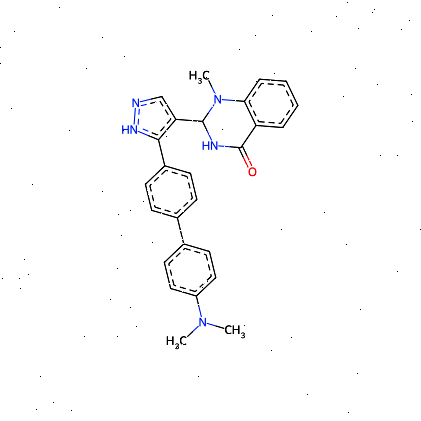 CN(C)c1ccc(-c2ccc(-c3[nH]ncc3C3NC(=O)c4ccccc4N3C)cc2)cc1